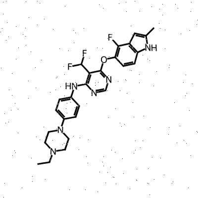 CCN1CCN(c2ccc(Nc3ncnc(Oc4ccc5[nH]c(C)cc5c4F)c3C(F)F)cc2)CC1